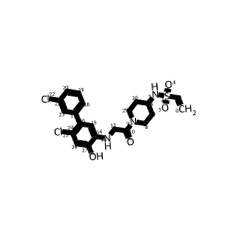 C=CS(=O)(=O)NC1CCN(C(=O)CNc2cc(-c3cccc(Cl)c3)c(Cl)cc2O)CC1